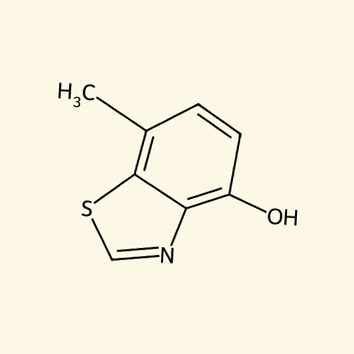 Cc1ccc(O)c2ncsc12